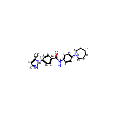 O=C(Nc1ccc(N2CCCCCC2)cc1)c1ccc(-n2nccc2C(F)(F)F)cc1